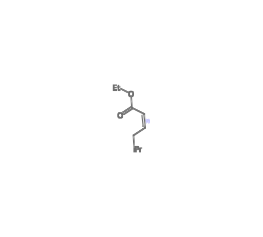 CCOC(=O)/C=C\CC(C)C